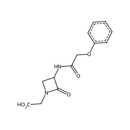 O=C(O)CN1CC(NC(=O)COc2ccccc2)C1=O